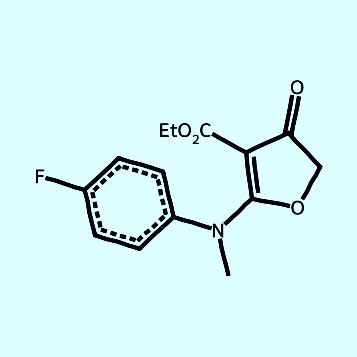 CCOC(=O)C1=C(N(C)c2ccc(F)cc2)OCC1=O